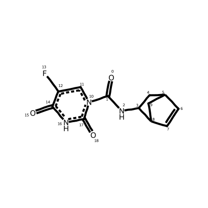 O=C(NC1CC2C=CC1C2)n1cc(F)c(=O)[nH]c1=O